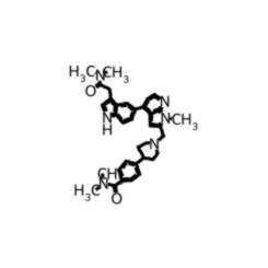 CN(C)C(=O)Cc1c[nH]c2ccc(-c3ccnc4c3cc(CN3CCC(c5ccc(C(=O)N(C)C)cc5)CC3)n4C)cc12